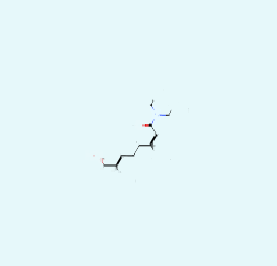 CCN(CC)C(=O)/C=C(/C)CC/C=C(\C)CO